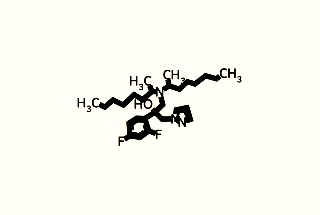 CCCCCCC(C)N(CC(O)(Cn1cccn1)c1ccc(F)cc1F)C(C)CCCCCC